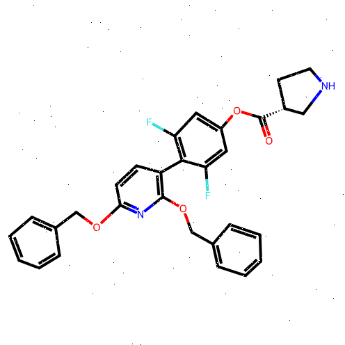 O=C(Oc1cc(F)c(-c2ccc(OCc3ccccc3)nc2OCc2ccccc2)c(F)c1)[C@@H]1CCNC1